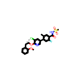 COc1ccccc1C[C@H](C)Oc1ncc(-c2cc(F)c(C(=O)NS(C)(=O)=O)cc2C)cc1Cl